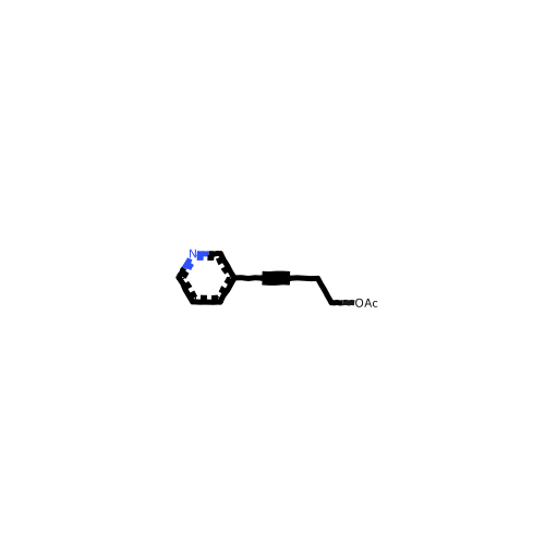 CC(=O)OCCC#Cc1cccnc1